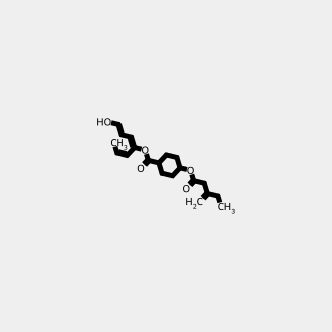 C=C(CC)CC(=O)OC1CCC(C(=O)OC(/C=C\C)=C/C=C/O)CC1